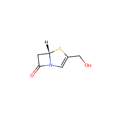 O=C1C[C@@H]2SC(CO)=CN12